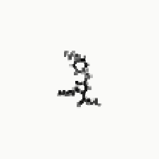 C=C(N)c1cc(SN2CC=C(C(F)(F)F)CC2)sc1NC